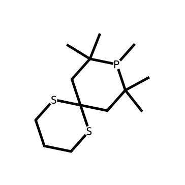 CP1C(C)(C)CC2(CC1(C)C)SCCCS2